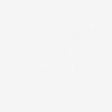 COc1cc(COc2nn(-c3ccccc3)cc2C=CC#N)ccc1OCc1nc(-c2ccco2)oc1C